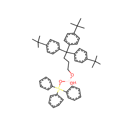 CC(C)(C)c1ccc(C(CCCOB(O)OS(c2ccccc2)(c2ccccc2)c2ccccc2)(c2ccc(C(C)(C)C)cc2)c2ccc(C(C)(C)C)cc2)cc1